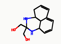 OCC1(CO)NC2C=CC=C3C=CCC(N1)C32